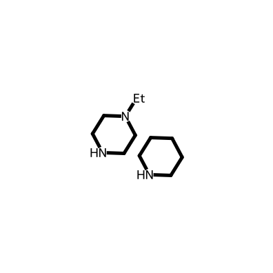 C1CCNCC1.CCN1CCNCC1